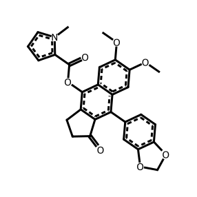 COc1cc2c(OC(=O)c3cccn3C)c3c(c(-c4ccc5c(c4)OCO5)c2cc1OC)C(=O)CC3